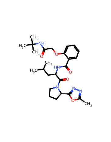 Cc1nnc([C@H]2CCCN2C(=O)[C@@H](CC(C)C)NC(=O)c2ccccc2OCC(=O)NC(C)(C)C)o1